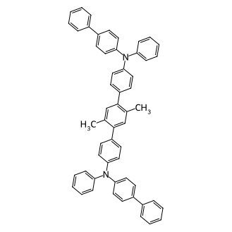 Cc1cc(-c2ccc(N(c3ccccc3)c3ccc(-c4ccccc4)cc3)cc2)c(C)cc1-c1ccc(N(c2ccccc2)c2ccc(-c3ccccc3)cc2)cc1